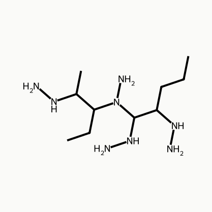 CCCC(NN)C(NN)N(N)C(CC)C(C)NN